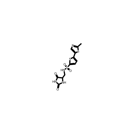 Cc1ncc(-c2ccc(S(=O)(=O)NCC3NC(=O)NC3=O)s2)s1